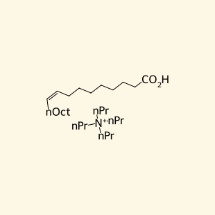 CCCCCCCC/C=C\CCCCCCCC(=O)O.CCC[N+](CCC)(CCC)CCC